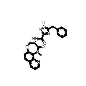 CN1C(=O)[C@@H](NC(=O)c2n[nH]c(Cc3ccccc3)n2)COc2ccc3cccnc3c21